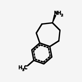 Cc1ccc2c(c1)CC[C@@H](N)CC2